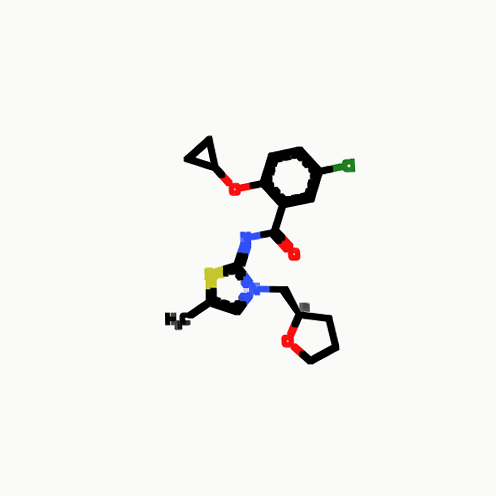 Cc1cn(C[C@H]2CCCO2)c(=NC(=O)c2cc(Cl)ccc2OC2CC2)s1